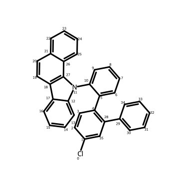 Clc1ccc(-c2ccccc2-n2c3ccccc3c3ccc4ccccc4c32)c(-c2ccccc2)c1